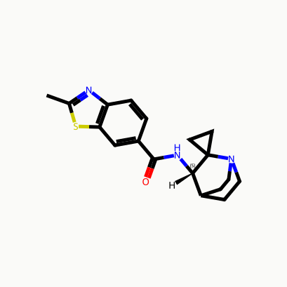 Cc1nc2ccc(C(=O)N[C@H]3C4CCN(CC4)C34CC4)cc2s1